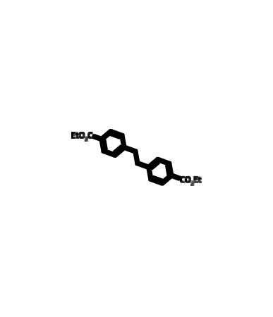 CCOC(=O)c1ccc(CCc2ccc(C(=O)OCC)cc2)cc1